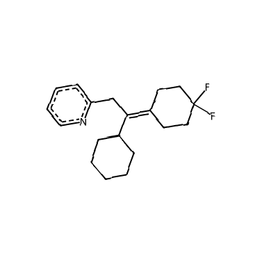 FC1(F)CCC(=C(Cc2ccccn2)C2CCCCC2)CC1